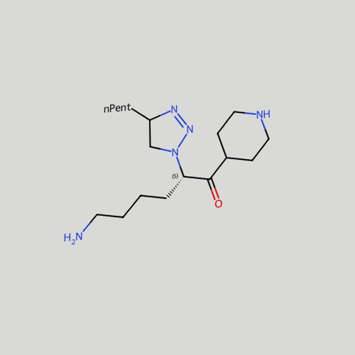 CCCCCC1CN([C@@H](CCCCN)C(=O)C2CCNCC2)N=N1